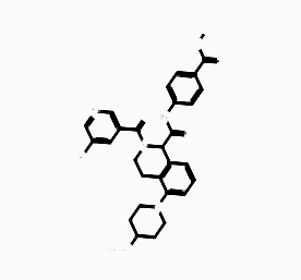 COC1CCN(c2cccc3c2CCN(C(=O)c2cncc(Br)c2)C3C(=O)Nc2ccc(C(=O)OC(C)(C)C)cc2)CC1